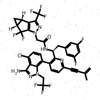 C=C(C)C#Cc1ccc(-c2ccc(Cl)c3c(N)nn(CC(F)(F)F)c23)c([C@H](Cc2cc(F)cc(F)c2)NC(=O)Cn2nc(C(F)(F)F)c3c2C(F)(F)[C@@H]2C[C@H]32)n1